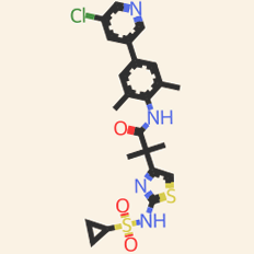 Cc1cc(-c2cncc(Cl)c2)cc(C)c1NC(=O)C(C)(C)c1csc(NS(=O)(=O)C2CC2)n1